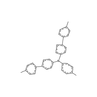 Cc1ccc(-c2ccc(N(c3ccc(C)cc3)c3ccc(-c4ccc(C)cc4)cc3)cc2)cc1